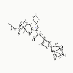 Cc1cc(/C(=C\C2CCCC2)C(=O)Nc2nc(C3COC(C)(C)O3)cs2)ccc1S(=O)(=O)C1CC1